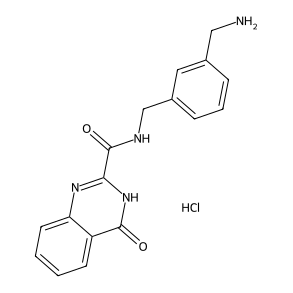 Cl.NCc1cccc(CNC(=O)c2nc3ccccc3c(=O)[nH]2)c1